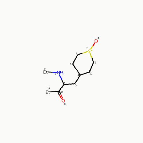 CCNC(CC1CC[S+]([O-])CC1)C(=O)CC